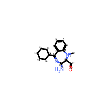 CN1c2ccccc2C(C2CCCCC2)=NC(N)C1C=O